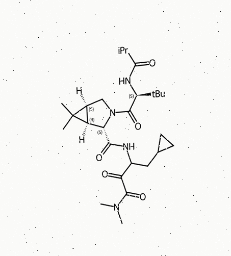 CC(C)C(=O)N[C@H](C(=O)N1C[C@H]2[C@@H]([C@H]1C(=O)NC(CC1CC1)C(=O)C(=O)N(C)C)C2(C)C)C(C)(C)C